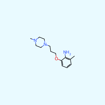 Cc1cccc(OCCCN2CCN(C)CC2)c1N